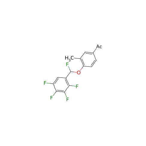 CC(=O)c1ccc(OC(F)c2cc(F)c(F)c(F)c2F)c(C)c1